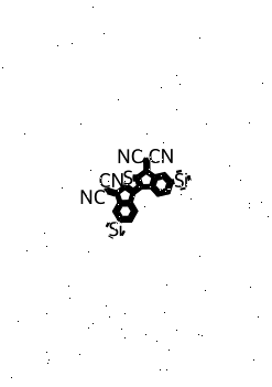 C[Si](C)(C)c1ccc2c(c1)C(=C(C#N)C#N)c1sc3c(c1-2)-c1ccc([Si](C)(C)C)cc1C3=C(C#N)C#N